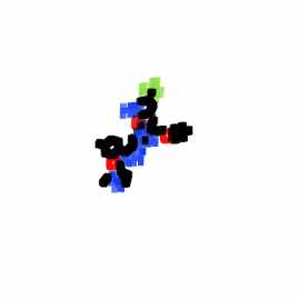 CCn1nccc1C(=O)N[C@H](c1cn2nc(C[C@H]3C[C@@H](C(F)(F)F)CNC3=O)c(CO[Si](C)(C)C(C)(C)C)nc2n1)C1CCC(C)CC1